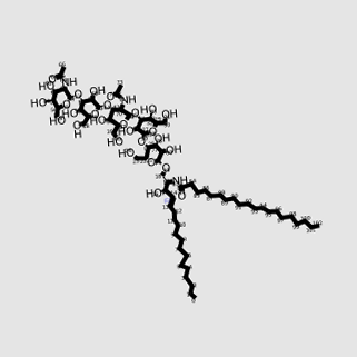 CCCCCCCCCCCCC/C=C/[C@@H](O)[C@H](CO[C@@H]1OC(CO)[C@@H](O[C@@H]2OC(CO)[C@H](O)[C@H](O[C@@H]3OC(CO)[C@@H](O)[C@H](O[C@@H]4OC(CO)[C@H](O)[C@H](O[C@@H]5OC(CO)[C@@H](O)[C@H](O)C5NC(C)=O)C4O)C3NC(C)=O)C2O)[C@H](O)C1O)NC(=O)CCCCCCCCCCCCCCCCCCC